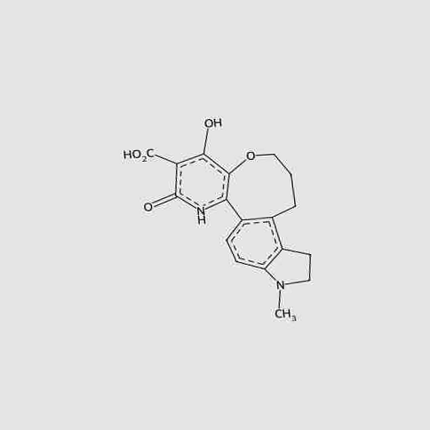 CN1CCc2c1ccc1c2CCCOc2c-1[nH]c(=O)c(C(=O)O)c2O